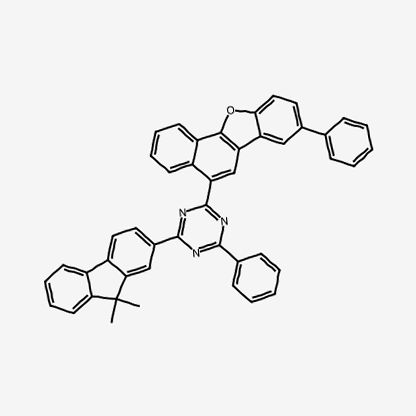 CC1(C)c2ccccc2-c2ccc(-c3nc(-c4ccccc4)nc(-c4cc5c6cc(-c7ccccc7)ccc6oc5c5ccccc45)n3)cc21